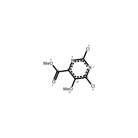 COC(=O)c1nc(Cl)nc(Cl)c1OC